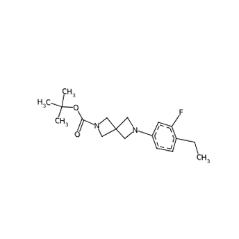 CCc1ccc(N2CC3(CN(C(=O)OC(C)(C)C)C3)C2)cc1F